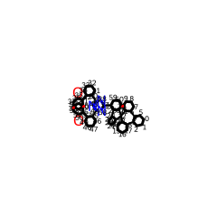 c1ccc2c(c1)-c1ccccc1C1(c3ccccc3-2)c2ccccc2-c2c(-c3nc(-c4cccc5oc6ccccc6c45)nc(-c4cccc5oc6ccccc6c45)n3)cccc21